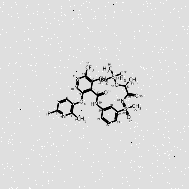 Cc1nc(F)ccc1Oc1nnc(C(F)(F)F)c(C)c1C(=O)Nc1cccc([S@@](C)(=O)=NC(=O)[C@H](C)O[Si](C)(C)C(C)(C)C)c1